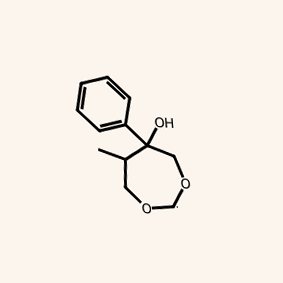 CC1CO[CH]OCC1(O)c1ccccc1